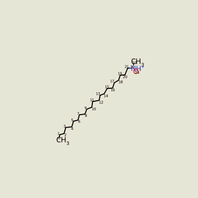 CCCCCCCCCCCCCCCCCCCCCC[NH+](C)[O-]